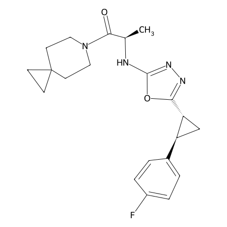 C[C@@H](Nc1nnc([C@@H]2C[C@H]2c2ccc(F)cc2)o1)C(=O)N1CCC2(CC1)CC2